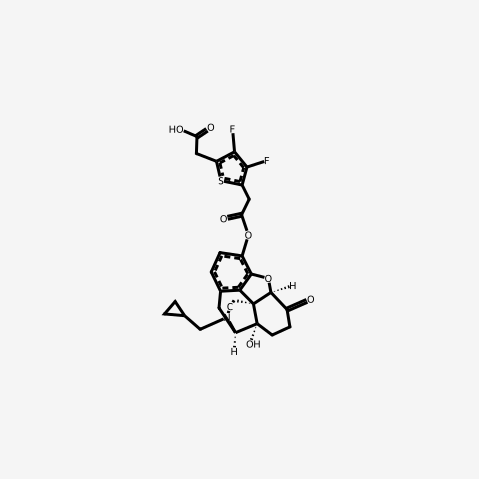 O=C(O)Cc1sc(CC(=O)Oc2ccc3c4c2O[C@H]2C(=O)CC[C@@]5(O)[C@@H](C3)N(CC3CC3)CC[C@]425)c(F)c1F